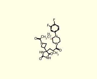 CC(=O)N1CC(C2(CC(C)C(=O)N3CCN(c4ccc(F)c(F)c4)[C@@H](C)C3)NC(=O)NC2=O)C1